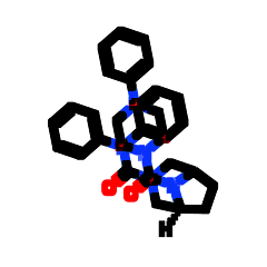 O=C(N1CC2CC[C@@H](C1)N2C(=O)N1CCN(c2ccccc2)CC1)N(c1ccccc1)c1ccccc1